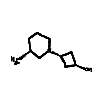 C[C@@H]1CCCN([C@H]2C[C@@H](O)C2)C1